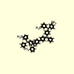 Cc1cccc(N(C2=CCC(Nc3ccccc3)(c3ccc(-c4ccc(N(c5ccccc5)c5ccc(N(c6cccc(C)c6)c6cccc(C)c6)cc5)cc4)cc3)C=C2)c2cccc(C)c2)c1